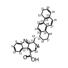 O=C(O)C1=C2C(=Nc3ccccc32)C([CH][C@H]2CCCc3c2ccc2c4c(ccc32)C=CCC4)N=C1